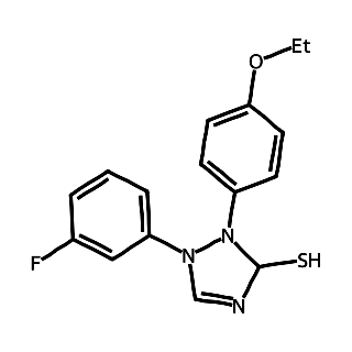 CCOc1ccc(N2C(S)N=CN2c2cccc(F)c2)cc1